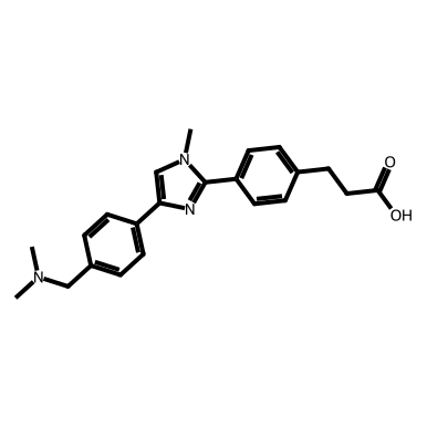 CN(C)Cc1ccc(-c2cn(C)c(-c3ccc(CCC(=O)O)cc3)n2)cc1